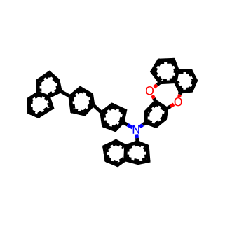 c1ccc2c(-c3ccc(-c4ccc(N(c5ccc6c(c5)Oc5cccc7cccc(c57)O6)c5cccc6ccccc56)cc4)cc3)cccc2c1